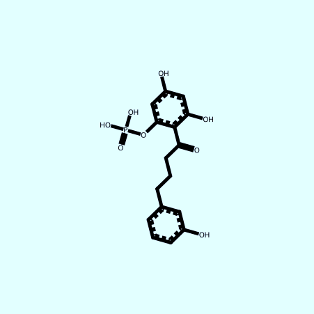 O=C(CCCc1cccc(O)c1)c1c(O)cc(O)cc1OP(=O)(O)O